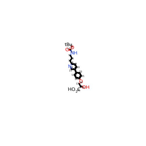 CC(C)(C)OC(=O)NCCCc1ccc(-c2ccc(OC[C@@H](O)C(=O)O)cc2)cn1